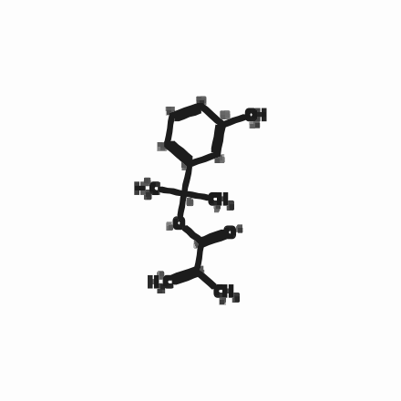 C=C(C)C(=O)OC(C)(C)c1cccc(O)c1